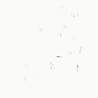 CC1(C)[C@@H](CNC(=O)[C@@H]2C[C@H]3C[C@H]3N2C(=O)Cn2nc(C(N)=O)c3ccncc32)C1(Cl)Cl